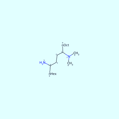 CCCCCCCCC(CCC(N)CCCCCC)N(C)C